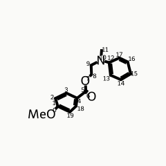 COc1ccc(C(=O)OCCN(C)c2ccccc2)cc1